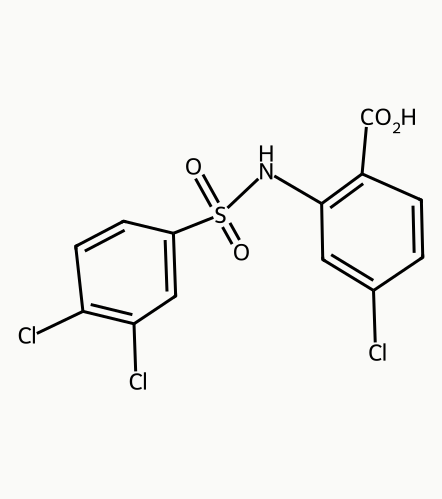 O=C(O)c1ccc(Cl)cc1NS(=O)(=O)c1ccc(Cl)c(Cl)c1